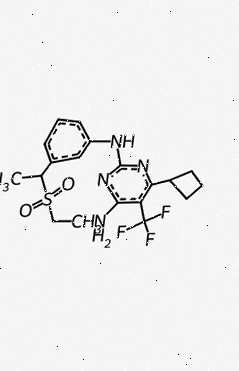 CCS(=O)(=O)C(C)c1cccc(Nc2nc(N)c(C(F)(F)F)c(C3CCC3)n2)c1